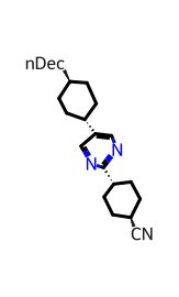 CCCCCCCCCC[C@H]1CC[C@H](c2cnc([C@H]3CC[C@H](C#N)CC3)nc2)CC1